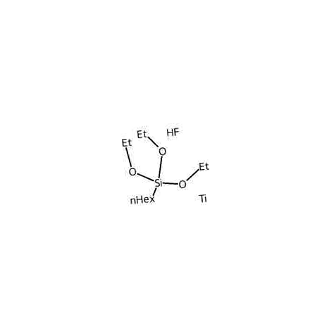 CCCCCC[Si](OCC)(OCC)OCC.F.[Ti]